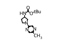 Cc1cnc(N2CCC(NC(=O)OC(C)(C)C)C2)cn1